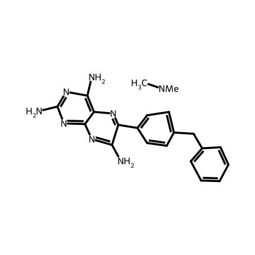 CNC.Nc1nc(N)c2nc(-c3ccc(Cc4ccccc4)cc3)c(N)nc2n1